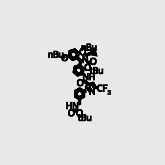 CCCCOc1ccc(OCCCC)c(C(c2cccc(NC(=O)c3cc(C(F)(F)F)nn3-c3cccc(CNC(=O)OC(C)(C)C)c3)c2)N(CC2CC2)C(=O)OC(C)(C)C)c1